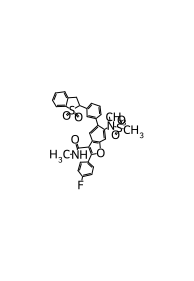 CNC(=O)c1c(-c2ccc(F)cc2)oc2cc(N(C)S(C)(=O)=O)c(-c3cccc(C4Cc5ccccc5S4(=O)=O)c3)cc12